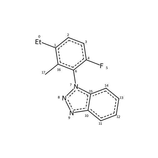 CCc1ccc(F)c(-n2nnc3ccccc32)c1C